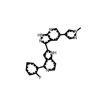 Cn1cc(-c2cnc3[nH]nc(-c4cc5c(-c6ccccc6F)nccc5[nH]4)c3c2)cn1